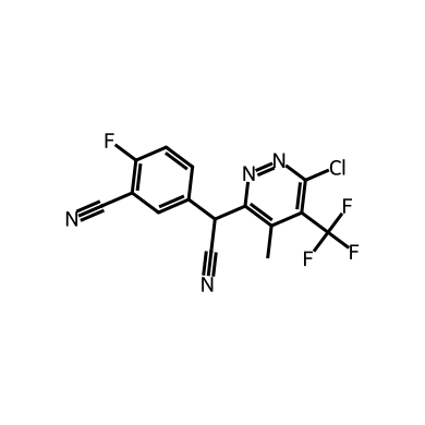 Cc1c(C(C#N)c2ccc(F)c(C#N)c2)nnc(Cl)c1C(F)(F)F